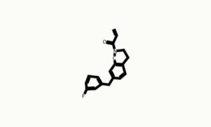 C=CC(=O)N1CCc2ccc(Cc3cccc(F)c3)cc2C1